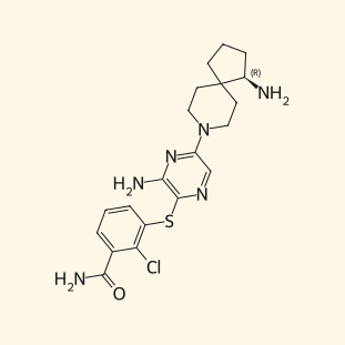 NC(=O)c1cccc(Sc2ncc(N3CCC4(CCC[C@H]4N)CC3)nc2N)c1Cl